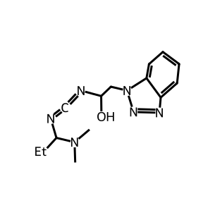 CCC(N=C=NC(O)Cn1nnc2ccccc21)N(C)C